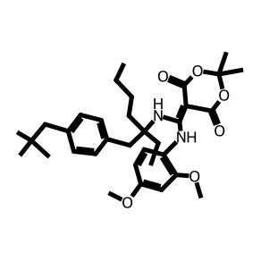 CCCCC(CC)(Cc1ccc(CC(C)(C)C)cc1)NC(Nc1ccc(OC)cc1OC)=C1C(=O)OC(C)(C)OC1=O